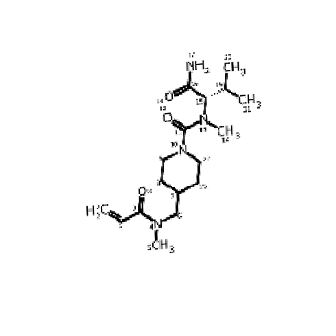 C=CC(=O)N(C)CC1CCN(C(=O)N(C)[C@H](C(N)=O)C(C)C)CC1